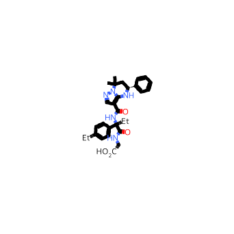 CCc1ccc(C(CC)(NC(=O)c2cnn3c2N[C@@H](c2ccccc2)CC3(C)C)C(=O)NCC(=O)O)cc1